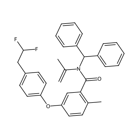 C=C(C)N(C(=O)c1cc(Oc2ccc(CC(F)F)cc2)ccc1C)C(c1ccccc1)c1ccccc1